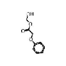 O=C(COc1ccccc1)OCO